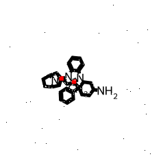 Cc1nc2ccccc2n1C1CC2CCC(C1)N2CCCC1(c2ccccc2)CCC(N)CC1